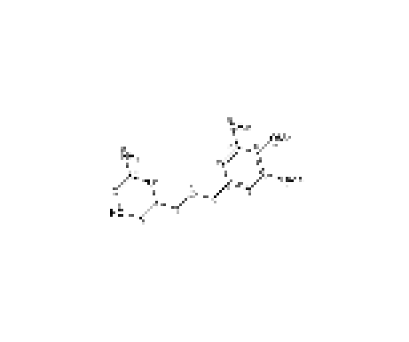 COc1cc(COCC(CO)OC(N)=O)cc(OC)c1OC